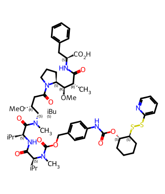 CC[C@H](C)[C@@H]([C@@H](CC(=O)N1CCC[C@H]1[C@H](OC)[C@@H](C)C(=O)N[C@@H](Cc1ccccc1)C(=O)O)OC)N(C)C(=O)[C@@H](NC(=O)[C@H](C(C)C)N(C)C(=O)OCc1ccc(NC(=O)O[C@H]2CCCC[C@@H]2SSc2ccccn2)cc1)C(C)C